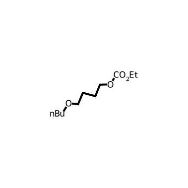 CCCCOCCCCOC(=O)OCC